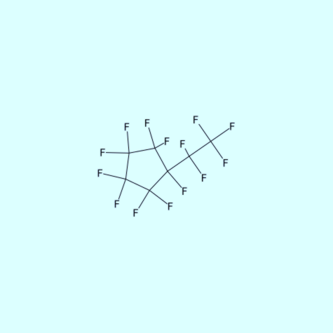 FC(F)(F)C(F)(F)C1(F)C(F)(F)C(F)(F)C(F)(F)C1(F)F